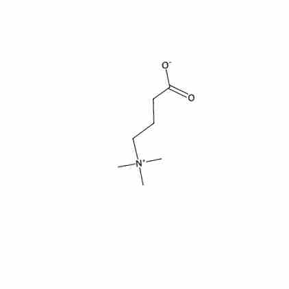 C[N+](C)(C)CCCC(=O)[O-]